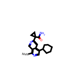 CNc1ncc(C2CCCCC2)c2cc(C3(C(N)=O)CC3)ncc12